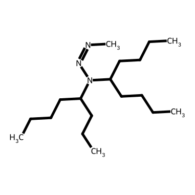 CCCCC(CCC)N(/N=N\C)C(CCCC)CCCC